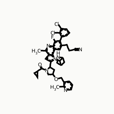 Cc1ncccc1COC1CC(c2cc3c(C)nc4c(F)c(-c5cccc(Cl)c5Cl)c(CCC#N)cc4c3n2C2C3CNC2C3)N(C(=O)C2CC2)C1